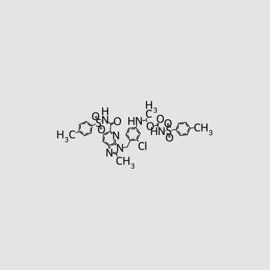 Cc1ccc(S(=O)(=O)NC(=O)OC(C)Nc2ccc(Cn3c(C)nc4ccc(C(=O)NS(=O)(=O)c5ccc(C)cc5)nc43)c(Cl)c2)cc1